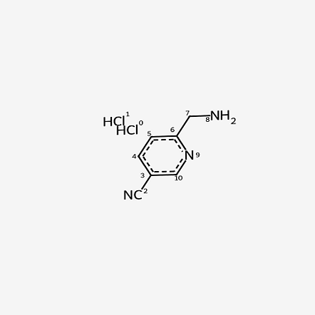 Cl.Cl.N#Cc1ccc(CN)nc1